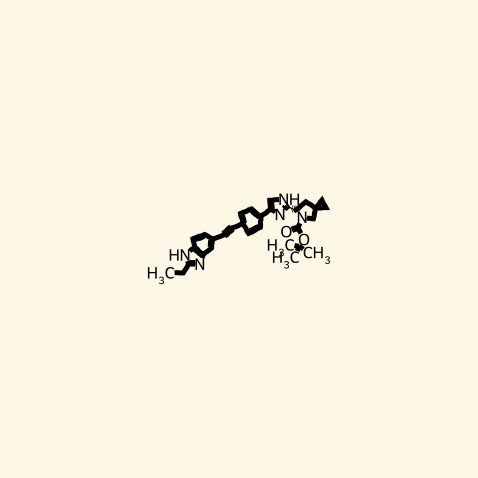 CCc1nc2cc(C#Cc3ccc(-c4c[nH]c([C@@H]5CC6(CC6)CN5C(=O)OC(C)(C)C)n4)cc3)ccc2[nH]1